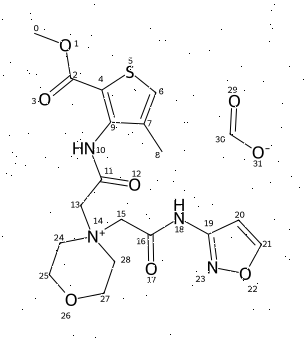 COC(=O)c1scc(C)c1NC(=O)C[N+]1(CC(=O)Nc2ccon2)CCOCC1.O=C[O-]